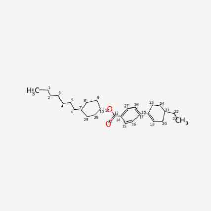 CCCCCCC[C@H]1CC[C@H](OC(=O)c2ccc(C3=CCC(CC)CC3)cc2)CC1